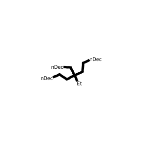 [CH2]CC(CCCCCCCCCCC)(CCCCCCCCCCCC)CCCCCCCCCCCC